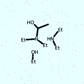 CCN(CC)C(C)O.CCNCC.CCO